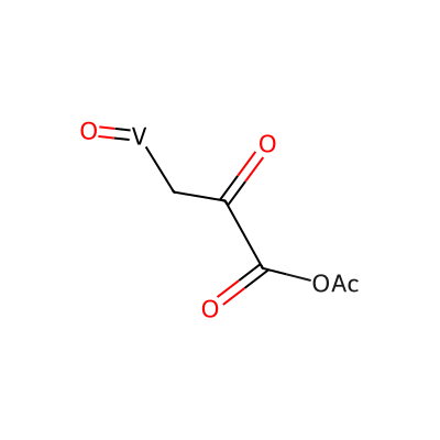 CC(=O)OC(=O)C(=O)[CH2][V]=[O]